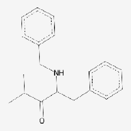 CC(C)C(=O)C(Cc1ccccc1)NCc1ccccc1